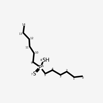 CCCCCCP(=S)(S)CCCCCC